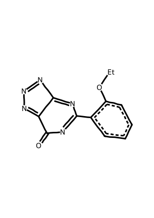 CCOc1ccccc1C1=NC(=O)C2=NN=NC2=N1